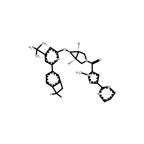 Cn1nc(-c2ncccn2)cc1C(=O)N1C[C@@H]2[C@H](C1)[C@@H]2Oc1cc(C(C)(C)N)cc(-c2ccc3c(c2)CC3(F)F)n1